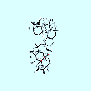 C=C1C(=O)C[C@]23[C@H](O)[C@H]1CC[C@H]2[C@]12C(=O)[C@@]4(CCC5=C(O4)[C@]46CO[C@](O)([C@@H](O)[C@@H]4C(C)(C)C5)[C@]45C(=O)C(=C)[C@H](CC[C@@H]64)[C@H]5O)CC(C)(C)[C@H]1[C@H](O)[C@@]3(O)O[C@H]2C